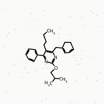 CCCCc1c(CC2=CC=CCC2)nc(OCC(C)C)nc1-c1ccccc1